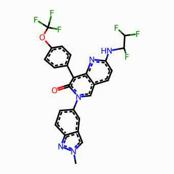 Cn1cc2cc(-n3cc4ccc(NC(F)C(F)F)nc4c(-c4ccc(OC(F)(F)F)cc4)c3=O)ccc2n1